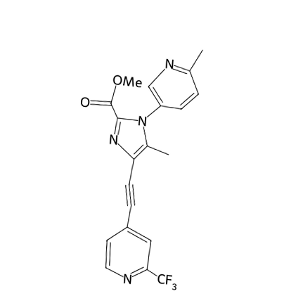 COC(=O)c1nc(C#Cc2ccnc(C(F)(F)F)c2)c(C)n1-c1ccc(C)nc1